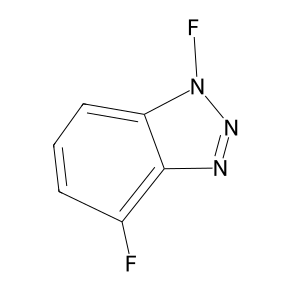 Fc1cccc2c1nnn2F